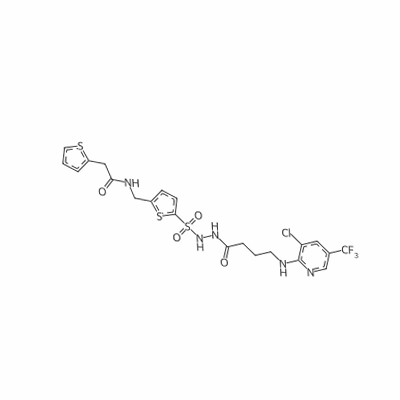 O=C(Cc1cccs1)NCc1ccc(S(=O)(=O)NNC(=O)CCCNc2ncc(C(F)(F)F)cc2Cl)s1